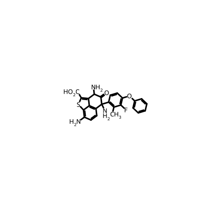 Cc1c(C2(N)C(=O)C(N)c3c(C(=O)O)sc4c(N)ccc2c34)ccc(Oc2ccccc2)c1F